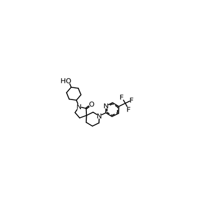 O=C1N(C2CCC(O)CC2)CCC12CCCN(c1ccc(C(F)(F)F)cn1)C2